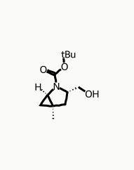 CC(C)(C)OC(=O)N1[C@H](CO)C[C@@]2(C)C[C@@H]12